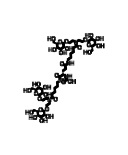 O=C(O)N[C@@H](CCC(=O)NCCCCCC(=O)N(CCO[C@H]1O[C@H](CO)[C@@H](O)[C@H](O)[C@@H]1O)CCO[C@H]1O[C@H](CO)[C@@H](O)[C@H](O)[C@@H]1O)C(=O)NCCCCCC(=O)N(CCO[C@H]1O[C@H](CO)[C@@H](O)[C@H](O)[C@@H]1O)CCO[C@@H]1O[C@@H](CO)[C@H](O)[C@@H](O)[C@H]1O